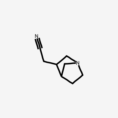 N#CCC1CN2CCC1C2